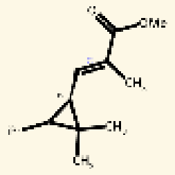 COC(=O)/C(C)=C/[C@@H]1C(C(C)C)C1(C)C